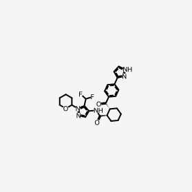 O=C(Nc1cnn(C2CCCCO2)c1C(F)F)[C@@H]1CCCC[C@H]1C(=O)c1ccc(-c2cc[nH]n2)cc1